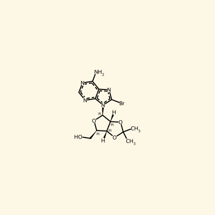 CC1(C)O[C@@H]2[C@H](O1)[C@@H](CO)O[C@H]2n1c(Br)nc2c(N)ncnc21